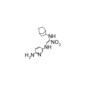 Nc1ccc(NC=C(NC2CC3CCC2C3)[N+](=O)[O-])cn1